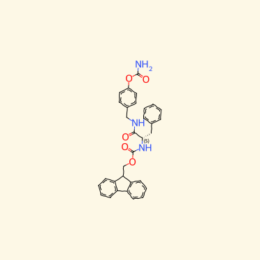 NC(=O)Oc1ccc(CNC(=O)[C@H](Cc2ccccc2)NC(=O)OCC2c3ccccc3-c3ccccc32)cc1